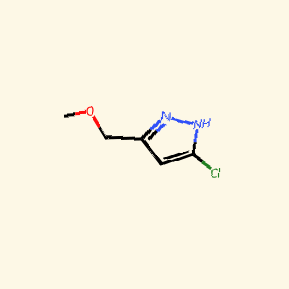 COCc1cc(Cl)[nH]n1